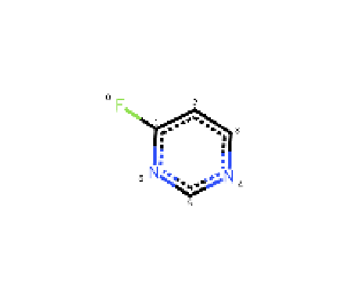 Fc1ccncn1